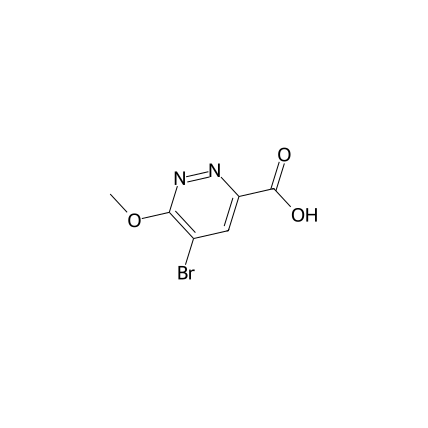 COc1nnc(C(=O)O)cc1Br